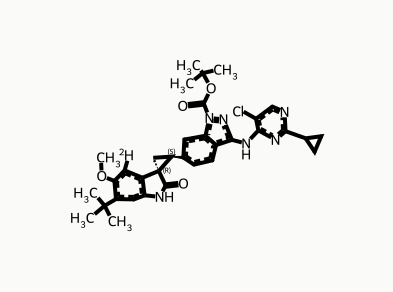 [2H]c1c(OC)c(C(C)(C)C)cc2c1[C@]1(C[C@H]1c1ccc3c(Nc4nc(C5CC5)ncc4Cl)nn(C(=O)OC(C)(C)C)c3c1)C(=O)N2